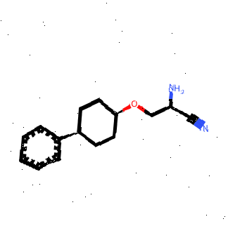 N#CC(N)CO[C@H]1CC[C@@H](c2ccccc2)CC1